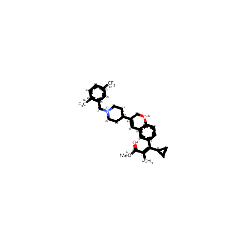 COC(=O)C(C)=C(c1ccc2c(c1)C=C(C1CCN(Cc3cc(C(F)(F)F)ccc3C(F)(F)F)CC1)CO2)C1CC1